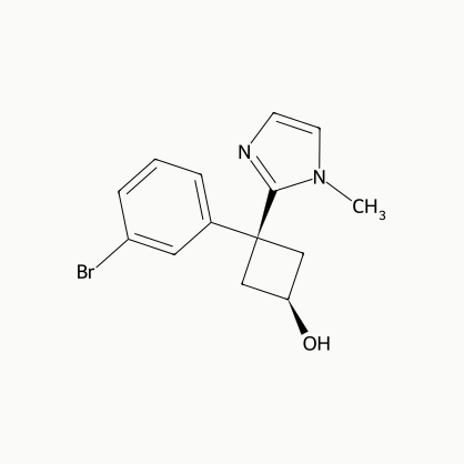 Cn1ccnc1[C@]1(c2cccc(Br)c2)C[C@H](O)C1